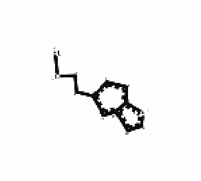 [CH2]COCCc1ccc2sccc2c1